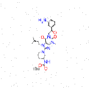 CC(C)=CCn1c(N2CCCC(NC(=O)OC(C)(C)C)C2)nc2c1c(=O)n(CC(=O)c1cccc(N)c1)c(=O)n2C